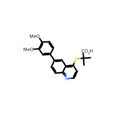 COc1ccc(-c2ccc3nccc(SC(C)(C)C(=O)O)c3c2)cc1OC